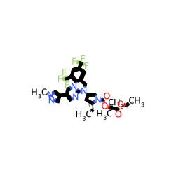 CCOC(=O)C(C)(C)OC(=O)N1C[C@@H](N(Cc2cc(C(F)(F)F)cc(C(F)(F)F)c2)c2ncc(-c3cnn(C)c3)cn2)C[C@H]1CC